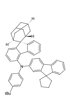 CC(C)(C)c1ccc(N(c2ccc3c(c2)C2(CCCC2)c2ccccc2-3)c2cccc3c2-c2ccccc2[C@]32[C@@H]3CC4C[C@@H](C3)C[C@@H]2C4)cc1